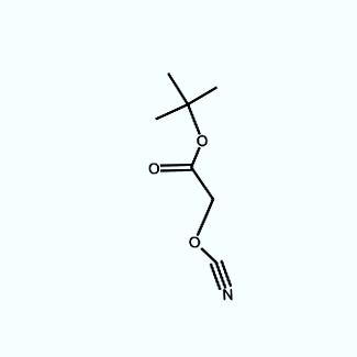 CC(C)(C)OC(=O)COC#N